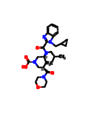 CC(C)CN(C(=O)c1nc2ccccc2n1CC1CC1)[C@H]1C[C@@H](C(=O)N2CCOCC2)CN(C(=O)O)C1